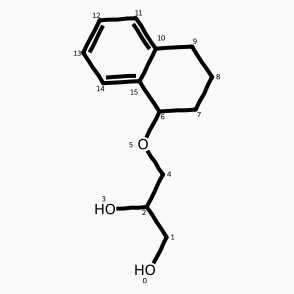 OCC(O)COC1CCCc2ccccc21